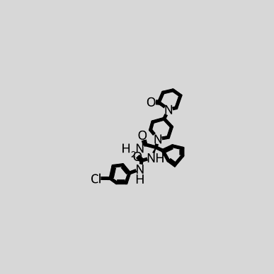 NC(=O)[C@@](NC(=O)Nc1ccc(Cl)cc1)(c1ccccc1)N1CCC(N2CCCCC2=O)CC1